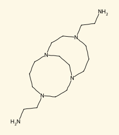 NCCN1CCCN2CCN(CCN)CCCN(CC1)CC2